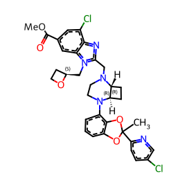 COC(=O)c1cc(Cl)c2nc(CN3CCN(c4cccc5c4OC(C)(c4ccc(Cl)cn4)O5)[C@@H]4CC[C@H]43)n(C[C@@H]3CCO3)c2c1